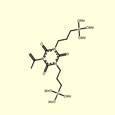 C=C(C)n1c(=O)n(CCC[Si](OC)(OC)OC)c(=O)n(CCC[Si](OC)(OC)OC)c1=O